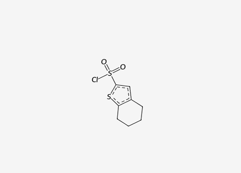 O=S(=O)(Cl)c1cc2c(s1)CCCC2